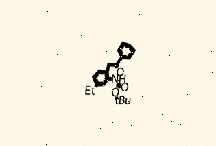 CCc1ccc(CC(=O)c2ccccc2)c(NC(=O)OC(C)(C)C)c1